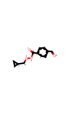 O=Cc1ccc(C(=O)OOCC2CC2)cc1